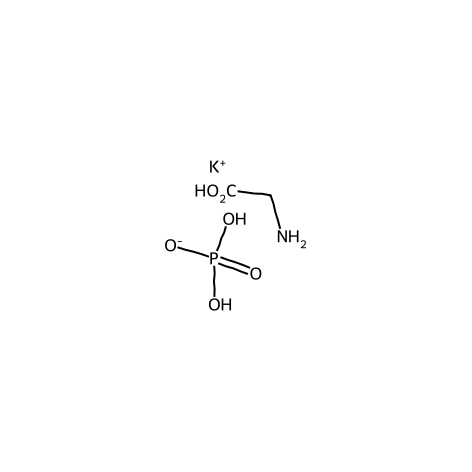 NCC(=O)O.O=P([O-])(O)O.[K+]